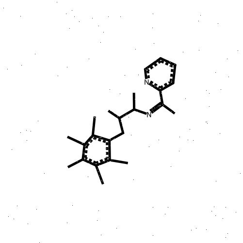 C/C(=N/C(C)C(C)Cc1c(C)c(C)c(C)c(C)c1C)c1ccccn1